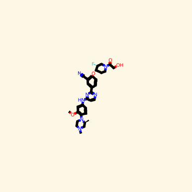 COc1cc(Nc2ccnc(-c3ccc(O[C@H]4CCN(C(=O)CO)C[C@H]4F)c(C#N)c3)n2)ccc1N1CCN(C)C[C@@H]1C